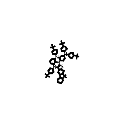 CC(C)(C)c1ccc(N(c2ccc(C(C)(C)C)cc2)c2ccc3c(c2)N(c2ccc(C(C)(C)C)cc2)c2cccc4c2B3c2sc3cc5c(cc3c2N4c2ccc(C(C)(C)C)cc2)-c2ccccc2C5(C)C)cc1